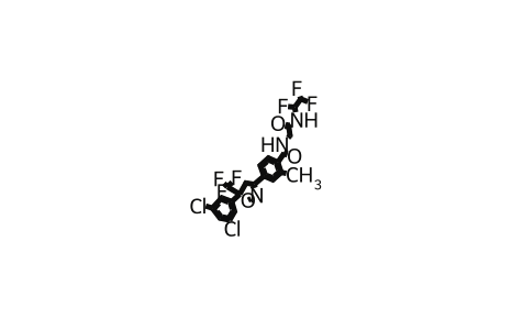 Cc1cc(C2=NOC(c3cc(Cl)cc(Cl)c3)(C(F)(F)F)C2)ccc1C(=O)NCC(=O)NC(F)C(F)F